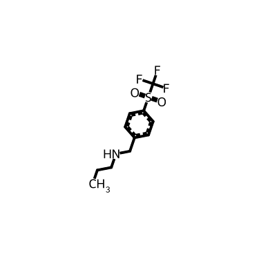 CCCNCc1ccc(S(=O)(=O)C(F)(F)F)cc1